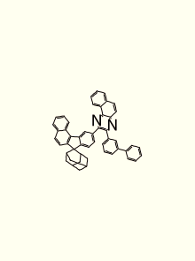 c1ccc(-c2cccc(-c3nc4ccc5ccccc5c4nc3-c3ccc4c(c3)-c3c(ccc5ccccc35)C43C4CC5CC(C4)CC3C5)c2)cc1